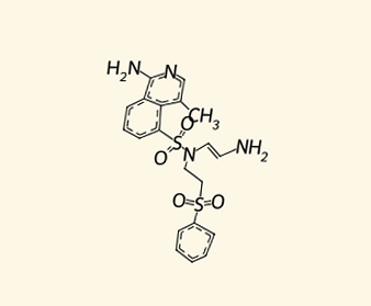 Cc1cnc(N)c2cccc(S(=O)(=O)N(C=CN)CCS(=O)(=O)c3ccccc3)c12